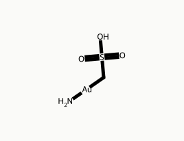 [NH2][Au][CH2]S(=O)(=O)O